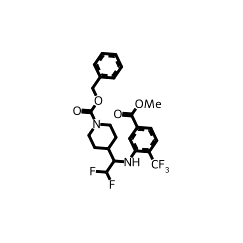 COC(=O)c1ccc(C(F)(F)F)c(NC(C(F)F)C2CCN(C(=O)OCc3ccccc3)CC2)c1